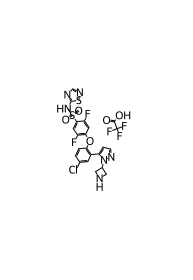 O=C(O)C(F)(F)F.O=S(=O)(Nc1ncns1)c1cc(F)c(Oc2ccc(Cl)cc2-c2ccnn2C2CNC2)cc1F